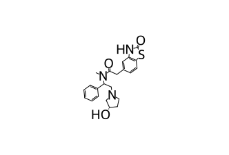 CN(C(=O)Cc1ccc2sc(=O)[nH]c2c1)C(CN1CC[C@H](O)C1)c1ccccc1